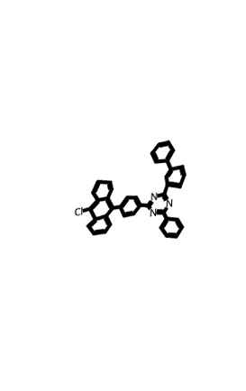 Clc1c2ccccc2c(-c2ccc(-c3nc(-c4ccccc4)nc(-c4cccc(-c5ccccc5)c4)n3)cc2)c2ccccc12